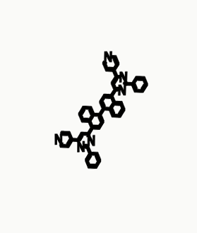 c1ccc(-c2nc(-c3ccncc3)cc(-c3ccc(-c4ccc(-c5cc(-c6ccncc6)nc(-c6ccccc6)n5)c5ccccc45)c4ccccc34)n2)cc1